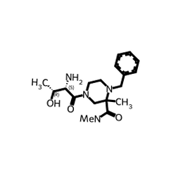 CNC(=O)C1(C)CN(C(=O)[C@@H](N)[C@@H](C)O)CCN1Cc1ccccc1